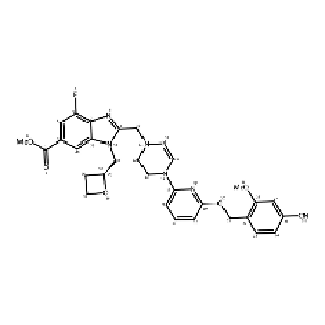 COC(=O)c1cc(F)c2nc(CN3CCN(c4cccc(OCc5ccc(C#N)cc5OC)n4)C=N3)n(C[C@@H]3CCO3)c2c1